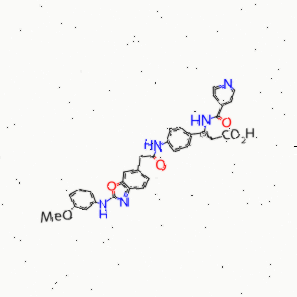 COc1cccc(Nc2nc3ccc(CC(=O)Nc4ccc([C@H](CC(=O)O)NC(=O)c5ccncc5)cc4)cc3o2)c1